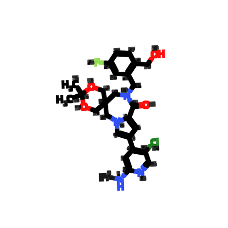 CC(C)Nc1cc(-c2cc3n(c2)CC2(COC(C)(C)OC2)CN(Cc2cc(F)ccc2CO)C3=O)c(Cl)cn1